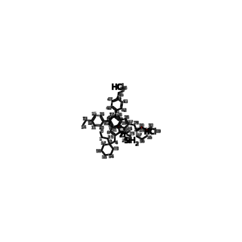 CCCC1(CC2=Cc3c(-c4ccc(CC)cc4)cccc3[CH]2[Zr]([CH3])([CH3])(=[SiH2])[CH]2C(CC3(CCC)CCCCC3)=Cc3c(-c4ccc(CC)cc4)cccc32)CCCCC1.Cl.Cl